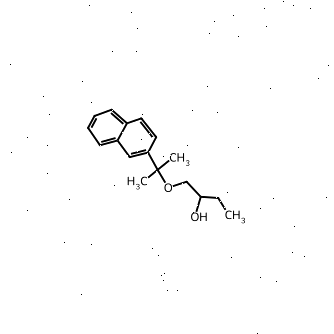 CCC(O)COC(C)(C)c1ccc2ccccc2c1